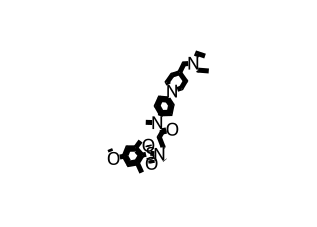 CCN(CC)CC1CCN(c2ccc(N(C)C(=O)CCN(C)S(=O)(=O)c3c(C)cc(OC)cc3C)cc2)CC1